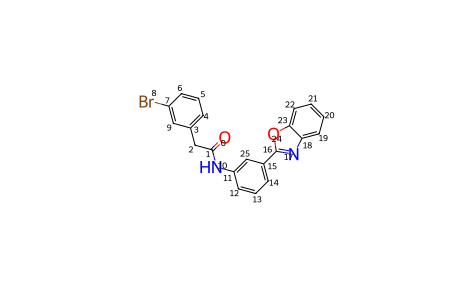 O=C(Cc1cccc(Br)c1)Nc1cccc(-c2nc3ccccc3o2)c1